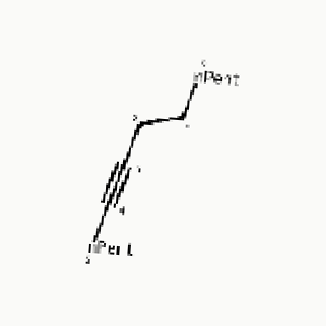 [CH2]CCCCCCC#CCCCCC